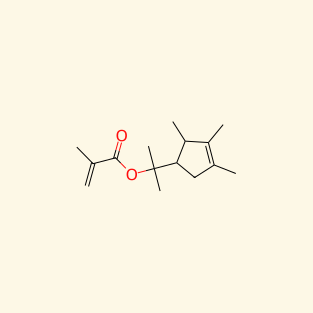 C=C(C)C(=O)OC(C)(C)C1CC(C)=C(C)C1C